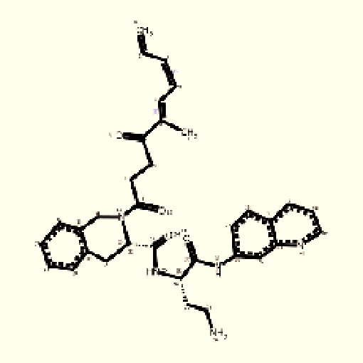 C=C/C=C\C=C(/C)C(=O)CCC(=O)N1Cc2ccccc2C[C@H]1C(=O)N[C@@H](CCN)C(=O)Nc1ccc2cccnc2c1